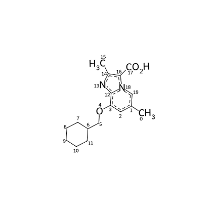 Cc1cc(OCC2CCCCC2)c2nc(C)c(C(=O)O)n2c1